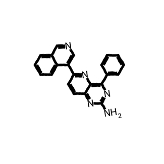 Nc1nc(-c2ccccc2)c2nc(-c3cncc4ccccc34)ccc2n1